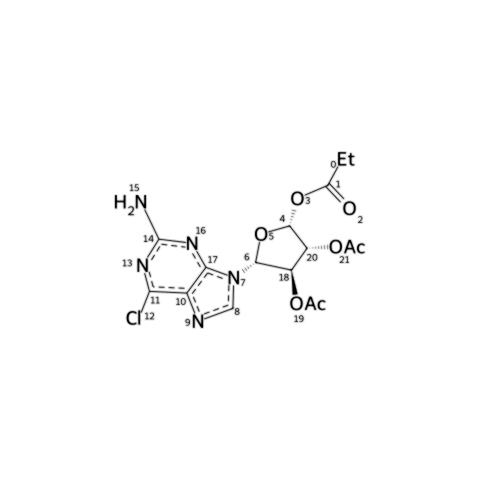 CCC(=O)O[C@H]1O[C@@H](n2cnc3c(Cl)nc(N)nc32)[C@H](OC(C)=O)[C@H]1OC(C)=O